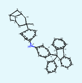 CC1(c2ccc(Nc3ccc(C4(c5ccccc5)c5ccccc5-c5ccccc54)cc3)cc2)CC2CC3CC(C1)C32